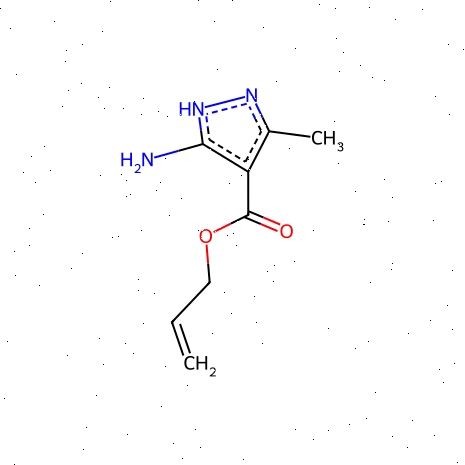 C=CCOC(=O)c1c(C)n[nH]c1N